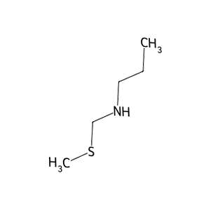 CCCNCSC